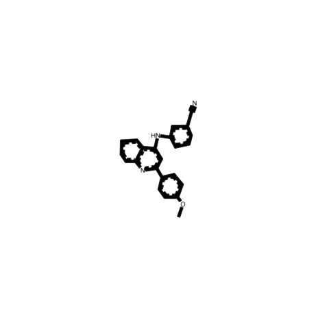 COc1ccc(-c2cc(Nc3cccc(C#N)c3)c3ccccc3n2)cc1